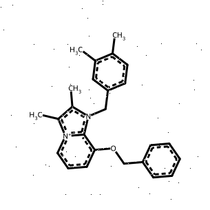 Cc1ccc(Cn2c(C)c(C)[n+]3cccc(OCc4ccccc4)c23)cc1C